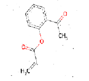 C=CC(=O)Oc1ccccc1C(C)=O